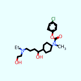 CCN(CCO)CCCC(O)C1CCC(N(C)C(=O)Oc2ccc(Cl)cc2)CC1